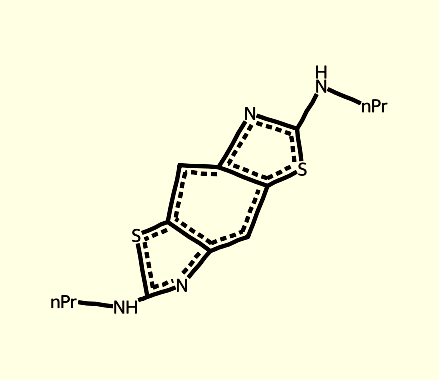 CCCNc1nc2cc3sc(NCCC)nc3cc2s1